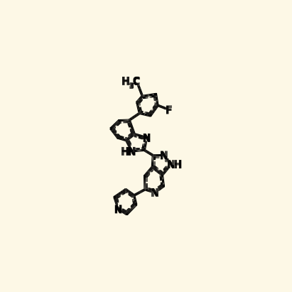 Cc1cc(F)cc(-c2cccc3[nH]c(-c4n[nH]c5cnc(-c6ccncc6)cc45)nc23)c1